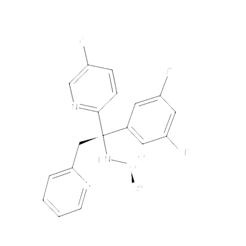 CC(C)(C)[S@+]([O-])N[C@@](Cc1ccccn1)(c1cc(F)cc(C(F)(F)F)c1)c1ccc(Cl)cn1